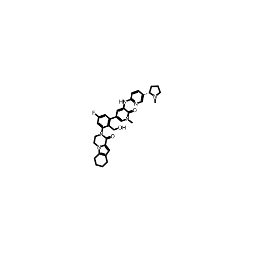 CN1CCC[C@H]1c1ccc(Nc2cc(-c3cc(F)cc(N4CCn5c(cc6c5CCCC6)C4=O)c3CO)cn(C)c2=O)nc1